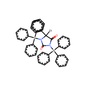 CCC1(c2ccccc2)C(=O)N([Si](c2ccccc2)(c2ccccc2)c2ccccc2)C(=O)N1[Si](c1ccccc1)(c1ccccc1)c1ccccc1